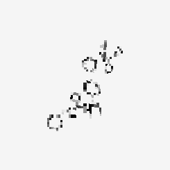 O=C(Nc1cccc(-c2ccc([C@@H]3CCCN3C(=O)OCc3ccccc3)cc2)c1)C1CC1